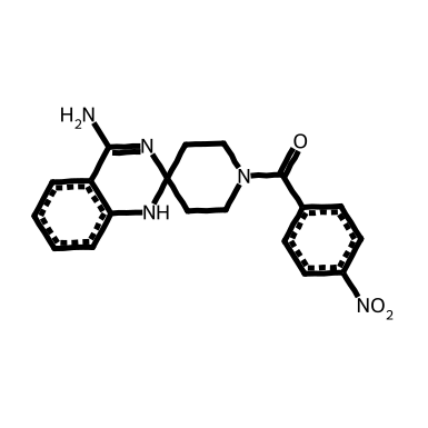 NC1=NC2(CCN(C(=O)c3ccc([N+](=O)[O-])cc3)CC2)Nc2ccccc21